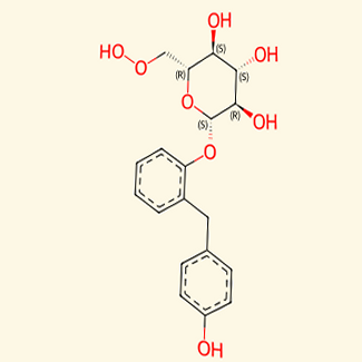 OOC[C@H]1O[C@@H](Oc2ccccc2Cc2ccc(O)cc2)[C@H](O)[C@@H](O)[C@@H]1O